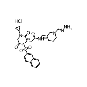 Cl.NN=CN1CCC[C@@H](CNC(=O)C[C@H]2C(=O)N(C3CC3)CC(=O)N2S(=O)(=O)c2ccc3ccccc3c2)C1